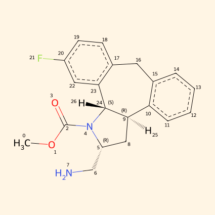 COC(=O)N1[C@@H](CN)C[C@@H]2c3ccccc3Cc3ccc(F)cc3[C@H]21